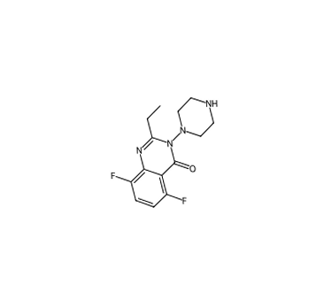 CCc1nc2c(F)ccc(F)c2c(=O)n1N1CCNCC1